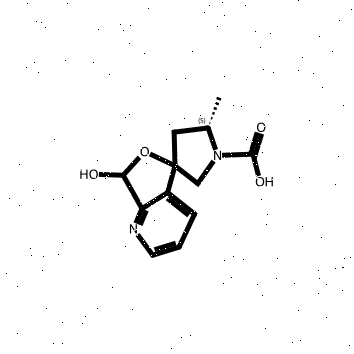 C[C@H]1CC2(CN1C(=O)O)OC(O)c1ncccc12